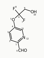 O=Cc1ccc(OC(F)(F)CO)cn1